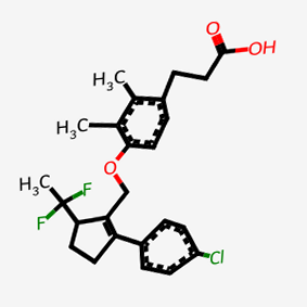 Cc1c(CCC(=O)O)ccc(OCC2=C(c3ccc(Cl)cc3)CCC2C(C)(F)F)c1C